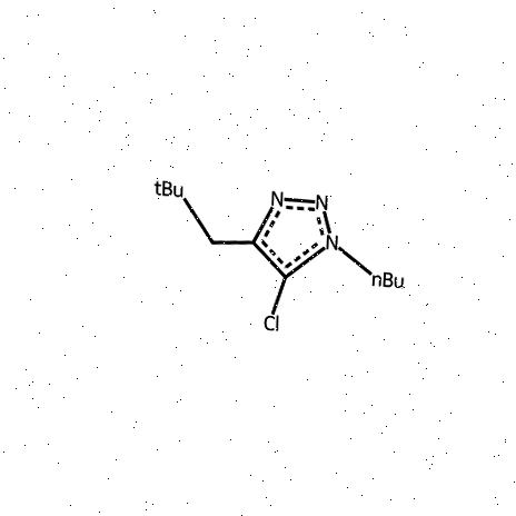 CCCCn1nnc(CC(C)(C)C)c1Cl